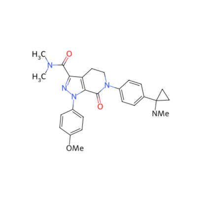 CNC1(c2ccc(N3CCc4c(C(=O)N(C)C)nn(-c5ccc(OC)cc5)c4C3=O)cc2)CC1